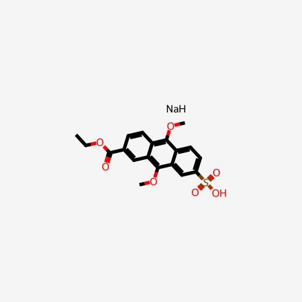 CCOC(=O)c1ccc2c(OC)c3ccc(S(=O)(=O)O)cc3c(OC)c2c1.[NaH]